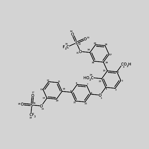 O=C(O)c1ccc(Oc2ccc(-c3cccc(OS(=O)(=O)C(F)(F)F)c3)cc2)c(C(=O)O)c1-c1cccc(OS(=O)(=O)C(F)(F)F)c1